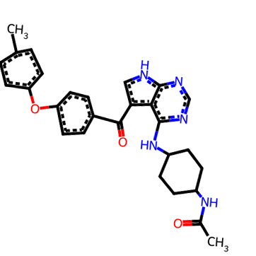 CC(=O)NC1CCC(Nc2ncnc3[nH]cc(C(=O)c4ccc(Oc5ccc(C)cc5)cc4)c23)CC1